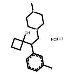 CN1CCN(CC(c2cccc(F)c2)C2(O)CCC2)CC1.Cl.Cl